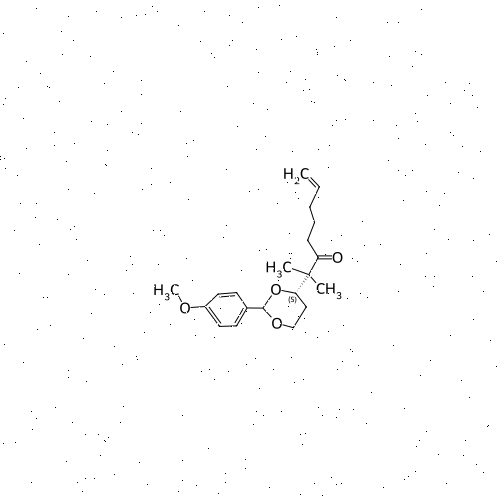 C=CCCCC(=O)C(C)(C)[C@@H]1CCOC(c2ccc(OC)cc2)O1